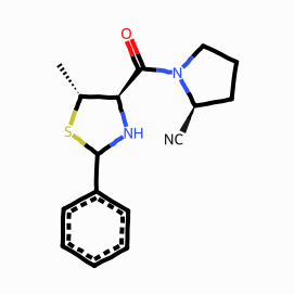 C[C@H]1SC(c2ccccc2)N[C@@H]1C(=O)N1CCC[C@H]1C#N